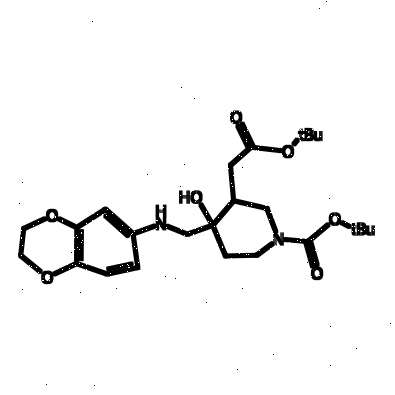 CC(C)(C)OC(=O)CC1CN(C(=O)OC(C)(C)C)CCC1(O)CNc1ccc2c(c1)OCCO2